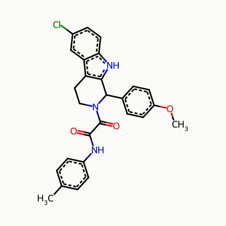 COc1ccc(C2c3[nH]c4ccc(Cl)cc4c3CCN2C(=O)C(=O)Nc2ccc(C)cc2)cc1